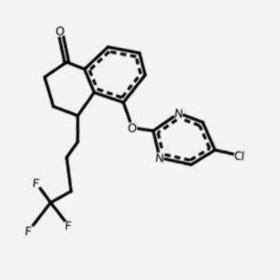 O=C1CCC(CCCC(F)(F)F)c2c(Oc3ncc(Cl)cn3)cccc21